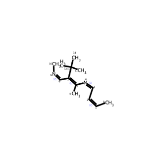 C\C=C/C=N\C(C)=C(\C=N/C)C(C)(C)C